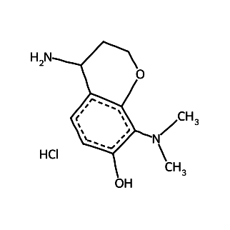 CN(C)c1c(O)ccc2c1OCCC2N.Cl